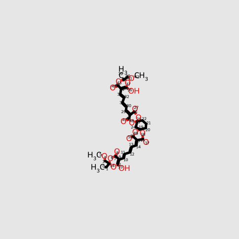 CCC1(COC)OC(=O)C(/C=C/C=C/C=C2C(=O)OC3(CCCC4(C3)OC(=O)C(=C/C=C/C=C/C3=C(O)OC(C)(COC)OC3=O)C(=O)O4)OC2=O)=C(O)O1